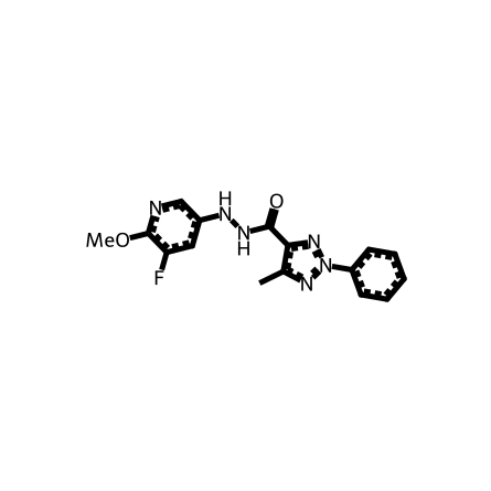 COc1ncc(NNC(=O)c2nn(-c3ccccc3)nc2C)cc1F